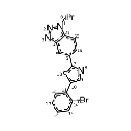 CC(C)n1nnc2cc(-c3ncc(-c4ccccc4Br)s3)ccc21